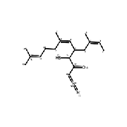 CC=C(C)CC(C=C(C)CCC=C(C)C)C(S)C(=O)C=[N+]=[N-]